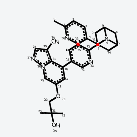 Cc1ccc(CN2C3CC2CN(c2ccc(-c4cc(OCC(C)(C)O)cn5ncc(C#N)c45)cn2)C3)nn1